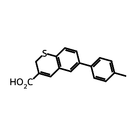 Cc1ccc(-c2ccc3c(c2)C=C(C(=O)O)CS3)cc1